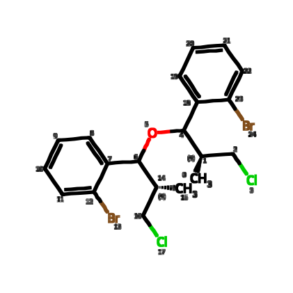 C[C@H](CCl)C(OC(c1ccccc1Br)[C@H](C)CCl)c1ccccc1Br